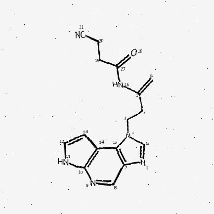 C=C(CCn1cnc2cnc3[nH]ccc3c21)NC(=O)CCC#N